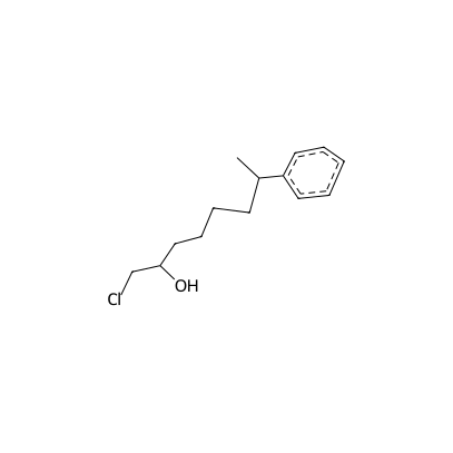 CC(CCCCC(O)CCl)c1ccccc1